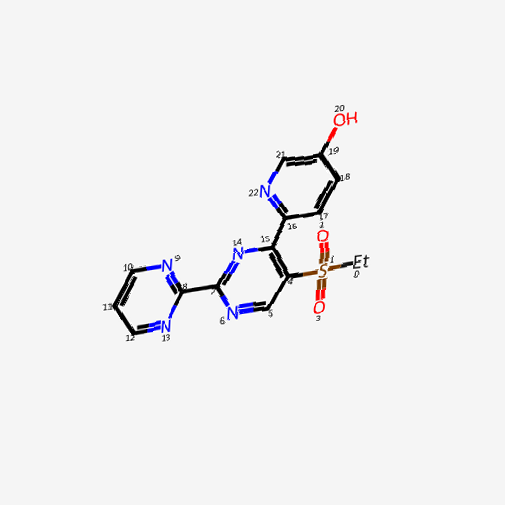 CCS(=O)(=O)c1cnc(-c2ncccn2)nc1-c1ccc(O)cn1